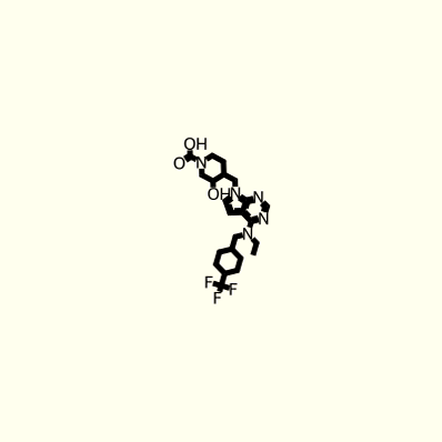 CCN(CC1CCC(C(F)(F)F)CC1)c1ncnc2c1ccn2CC1CCN(C(=O)O)CC1O